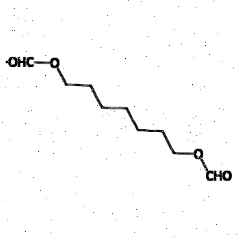 O=[C]OCCCCCCCOC=O